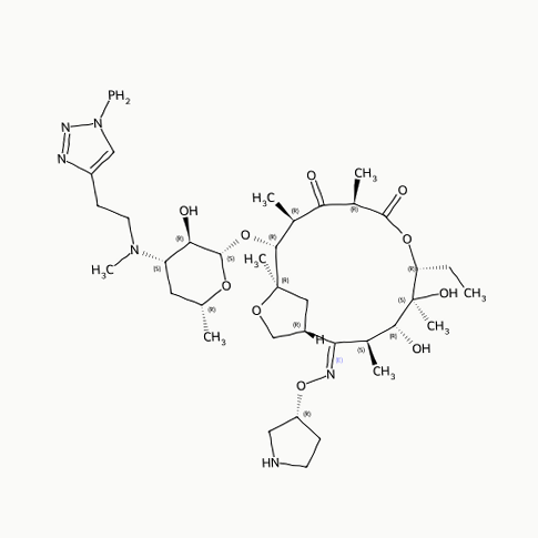 CC[C@H]1OC(=O)[C@H](C)C(=O)[C@H](C)[C@@H](O[C@@H]2O[C@H](C)C[C@H](N(C)CCc3cn(P)nn3)[C@H]2O)[C@@]2(C)C[C@@H](CO2)/C(=N\O[C@@H]2CCNC2)[C@H](C)[C@@H](O)[C@]1(C)O